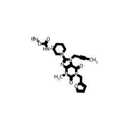 CC#CCn1c(N2CCC[C@@H](NC(=O)OC(C)(C)C)C2)nc2c1c(=O)n(Cc1ccco1)c(=O)n2C